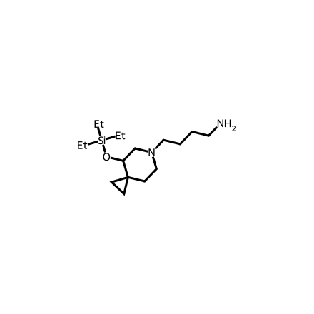 CC[Si](CC)(CC)OC1CN(CCCCN)CCC12CC2